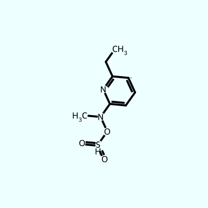 CCc1[c]ccc(N(C)O[SH](=O)=O)n1